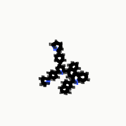 c1ccc(-c2ccc(-c3cc(-c4ccc(-c5ccccn5)cc4)nc(-c4cc5c(-c6ccc7ccccc7c6)nc6ccccc6c5c5ccccc45)c3)cc2)nc1